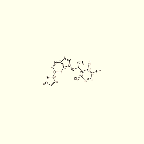 CC(On1ccc2ncc(-c3ccoc3)cc21)c1c(Cl)ccc(F)c1Cl